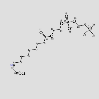 CCCCCCCC/C=C\CCCCCCCC(=O)OCCOP(=O)([O-])OCC[N+](C)(C)C